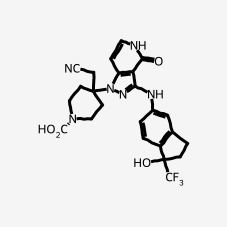 N#CCC1(n2nc(Nc3ccc4c(c3)CCC4(O)C(F)(F)F)c3c(=O)[nH]ccc32)CCN(C(=O)O)CC1